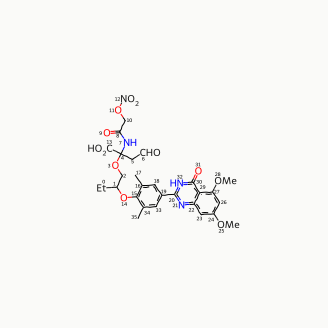 CCC(COC(CC=O)(NC(=O)CO[N+](=O)[O-])C(=O)O)Oc1c(C)cc(-c2nc3cc(OC)cc(OC)c3c(=O)[nH]2)cc1C